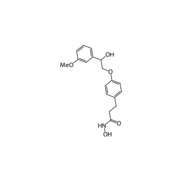 COc1cccc(C(O)COc2ccc(CCC(=O)NO)cc2)c1